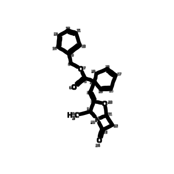 CC1C(=CC2(C(=O)OCc3ccccc3)C=CC=CC2)OC2CC(=O)N21